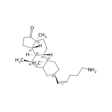 C[C@@H]1CC2C[C@H](/C=C\CCCN)CC[C@]2(C)[C@H]2CC[C@]3(C)C(=O)CC[C@H]3[C@H]12